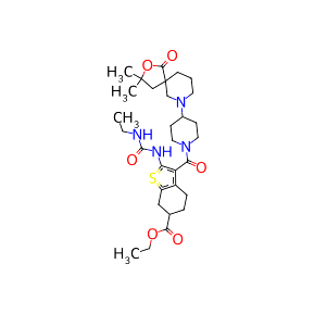 CCNC(=O)Nc1sc2c(c1C(=O)N1CCC(N3CCCC4(C3)CC(C)(C)OC4=O)CC1)CCC(C(=O)OCC)C2